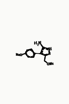 COCc1n[nH]c(N)c1-c1ccc(OC)cc1